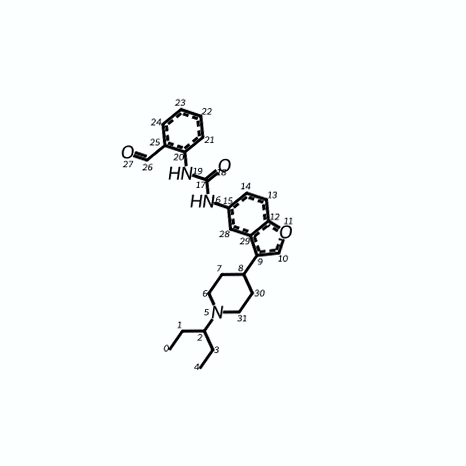 CCC(CC)N1CCC(c2coc3ccc(NC(=O)Nc4ccccc4C=O)cc23)CC1